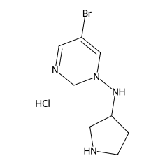 BrC1=CN(NC2CCNC2)CN=C1.Cl